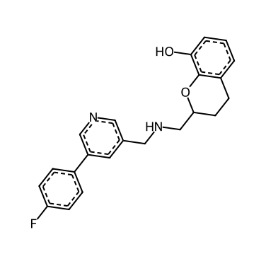 Oc1cccc2c1OC(CNCc1cncc(-c3ccc(F)cc3)c1)CC2